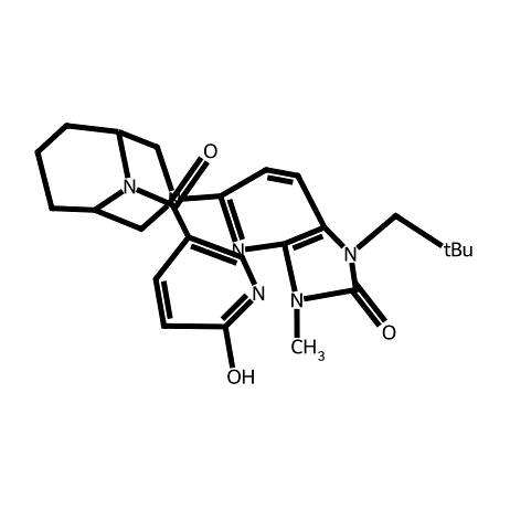 Cn1c(=O)n(CC(C)(C)C)c2ccc(N3CC4CCCC(C3)N4C(=O)c3ccc(O)nc3)nc21